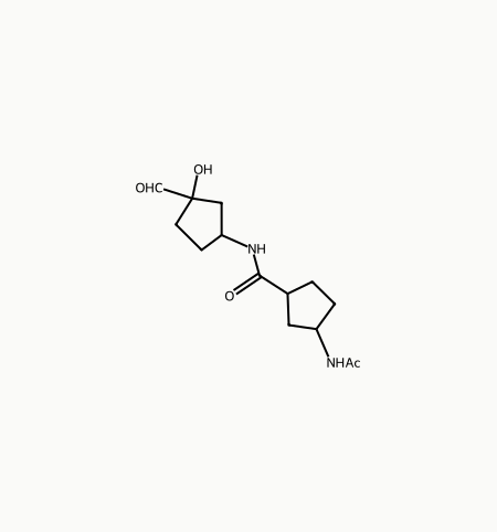 CC(=O)NC1CCC(C(=O)NC2CCC(O)(C=O)C2)C1